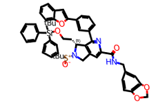 CC(C)(C)[S+]([O-])N1Cc2cc(C(=O)NCc3ccc4c(c3)OCO4)nc(-c3cccc(-c4cc5ccccc5o4)c3)c2[C@H]1CCO[Si](c1ccccc1)(c1ccccc1)C(C)(C)C